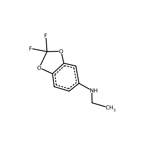 CCNc1ccc2c(c1)OC(F)(F)O2